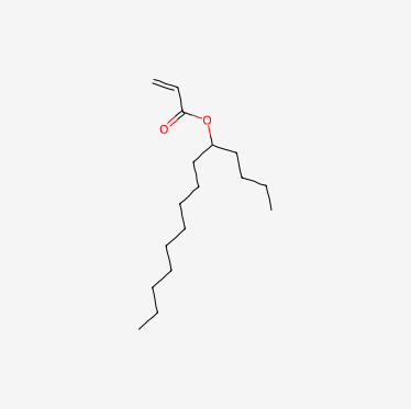 C=CC(=O)OC(CCCC)CCCCCCCCC